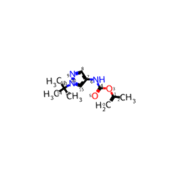 C=C(C)OC(=O)Nc1cnn(C(C)(C)C)c1